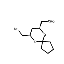 N#CC[C@H]1C[C@@H](CC=O)OC2(CCCC2)O1